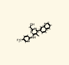 Cc1c(Nc2ccc(C(F)(F)F)cn2)nc(CO)nc1-c1ccc2cccnc2c1